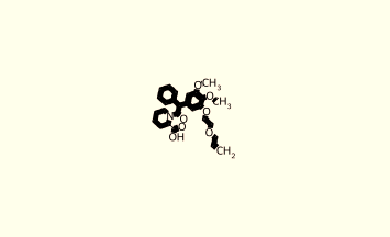 C=CCOCCOc1cc(C(C(=O)N2CCCC[C@H]2C(=O)O)C2CCCCC2)cc(OC)c1OC